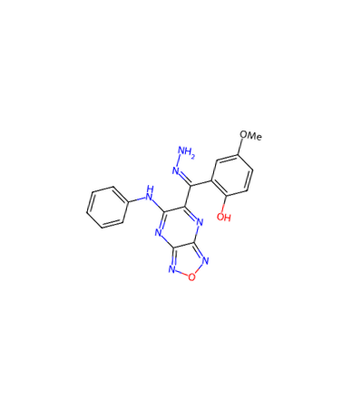 COc1ccc(O)c(/C(=N\N)c2nc3nonc3nc2Nc2ccccc2)c1